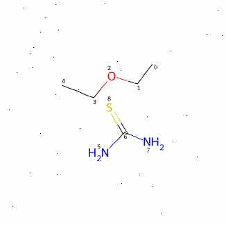 CCOCC.NC(N)=S